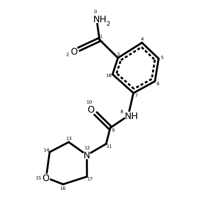 NC(=O)c1cccc(NC(=O)CN2CCOCC2)c1